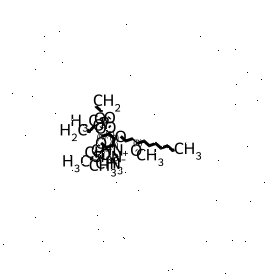 C=CCOP(=O)(OCC=C)O[C@H]1[C@H](OCC[C@@H](CCCCCCC)OC)[C@@H](N=[N+]=[N-])[C@H](O[Si](C)(C)C(C)(C)C)O[C@@H]1COC